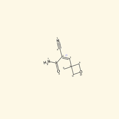 CC1(/C=C(/C#N)C(N)=O)COC1